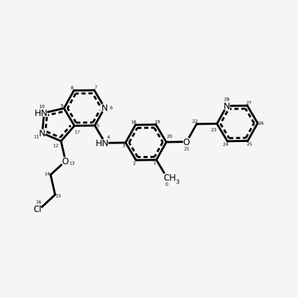 Cc1cc(Nc2nccc3[nH]nc(OCCCl)c23)ccc1OCc1ccccn1